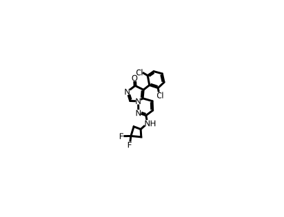 O=c1ncn2nc(NC3CC(F)(F)C3)ccc2c1-c1c(Cl)cccc1Cl